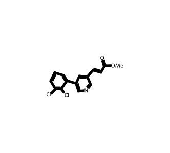 COC(=O)/C=C/c1cncc(-c2cccc(Cl)c2Cl)c1